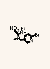 CCNC(=C[N+](=O)[O-])N(C)Cc1ccc(Br)nc1